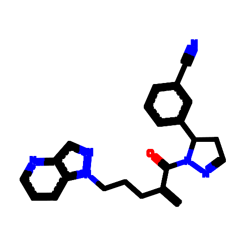 C=C(CCCn1ncc2ncccc21)C(=O)N1N=CCC1c1cccc(C#N)c1